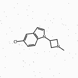 CN1CC(n2ccc3cc(Cl)ccc32)C1